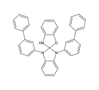 c1ccc(-c2cccc(N3c4ccccc4N(c4cccc(-c5ccccc5)c4)C34Nc3ccccc3O4)c2)cc1